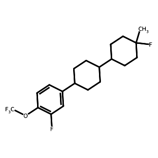 CC1(F)CCC(C2CCC(c3ccc(OC(F)(F)F)c(F)c3)CC2)CC1